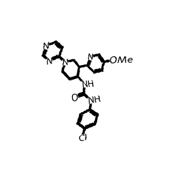 COc1ccc(C2CN(c3ccncn3)CCC2NC(=O)Nc2ccc(Cl)cc2)nc1